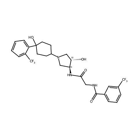 O=C(CNC(=O)c1cccc(C(F)(F)F)c1)N[C@H]1CN(C2CCC(O)(c3ccccc3C(F)(F)F)CC2)C[C@@H]1O